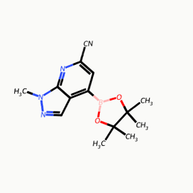 Cn1ncc2c(B3OC(C)(C)C(C)(C)O3)cc(C#N)nc21